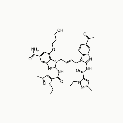 CCn1nc(C)cc1C(=O)Nc1nc2cc(C(C)=O)ccc2n1C/C=C/Cn1c(NC(=O)c2cc(C)nn2CC)nc2cc(C(N)=O)cc(OCCCO)c21